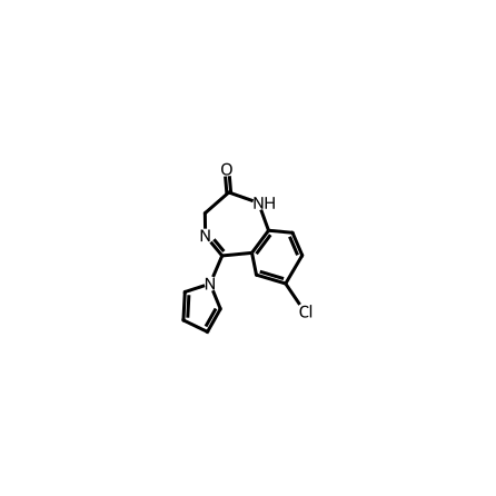 O=C1CN=C(n2cccc2)c2cc(Cl)ccc2N1